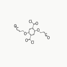 O=C=CCOc1cc(C(=O)Cl)c(OCC=C=O)cc1C(=O)Cl